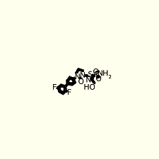 NS(=O)(=O)c1sc(N2CCCN(c3ccc(-c4cc(F)ccc4F)cc3)C2=O)nc1CO